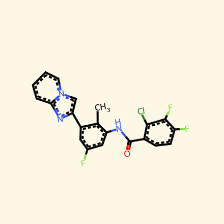 Cc1c(NC(=O)c2ccc(F)c(F)c2Cl)cc(F)cc1-c1cn2ccccc2n1